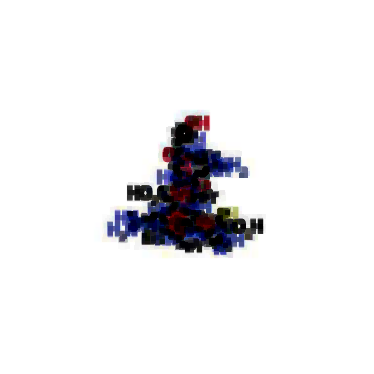 CC[C@H](C)[C@H](NC(=O)[C@H](CCCNC(=N)N)NC(=O)[C@H](CCC(=O)O)NC(=O)[C@@H](NC(=O)[C@@H](NC(=O)[C@H](CCCNC(=N)N)NC(=O)[C@H](CO)NC(=O)CNC(=O)[C@H](Cc1ccc(O)cc1)NC(=O)[C@@H]1CCCN1)C(C)C)[C@@H](C)CC)C(=O)N[C@@H](CC(C)C)C(=O)N[C@@H](CCC(=O)O)C(=O)N[C@@H](Cc1c[nH]cn1)C(=O)N[C@@H](CS)C(=O)O